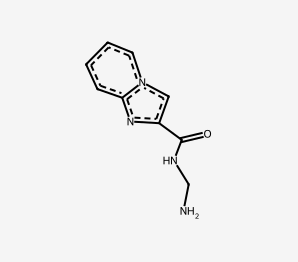 NCNC(=O)c1cn2ccccc2n1